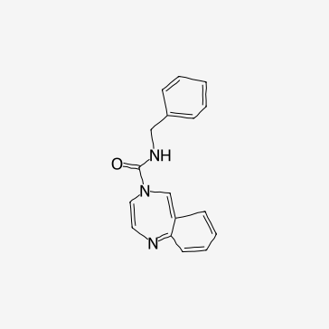 O=C(NCc1ccccc1)N1C=CN=c2ccccc2=C1